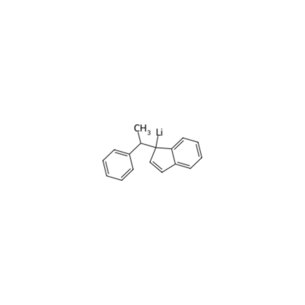 [Li][C]1(C(C)c2ccccc2)C=Cc2ccccc21